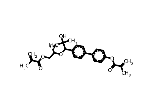 C=C(C)C(=O)OCC(O)OC(c1ccc(-c2ccc(OC(=O)C(=C)C)cc2)cc1)C(C)(C)O